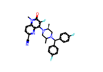 CC1CN(c2c(F)c(=O)n(C)c3ccc(C#N)nc23)[C@@H](C)CN1C(c1ccc(F)cc1)c1ccc(F)cc1